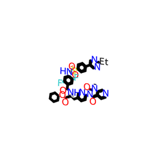 CCc1ncc(-c2ccc(S(=O)(=O)Nc3cc(F)c(C(=O)N[C@@H](Cc4ccc(-n5c(=O)c6ccncc6n(C)c5=O)nc4)C(=O)OC4CCCCC4)cc3F)cc2)cn1